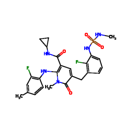 CNS(=O)(=O)Nc1cccc(Cc2cc(C(=O)NC3CC3)c(Nc3ccc(C)cc3F)n(C)c2=O)c1F